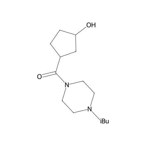 CCC(C)N1CCN(C(=O)C2CCC(O)C2)CC1